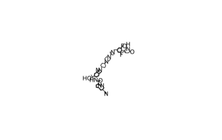 CC(C)(O)c1cc2nn(C3CCC(N4CCN(C5CN(Cc6cc(F)c([C@H]7CCC(=O)NC7=O)c(F)c6)C5)CC4)CC3)cc2cc1NC(=O)c1ccc2cc(C#N)cnn12